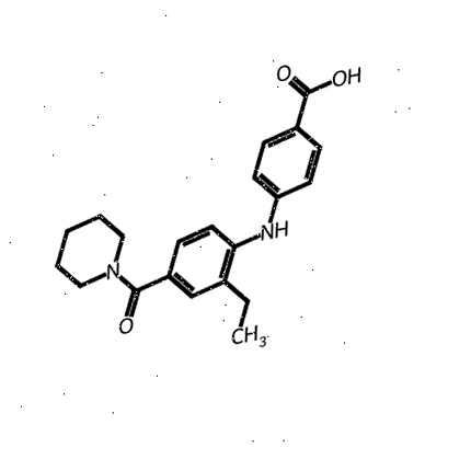 CCc1cc(C(=O)N2CCCCC2)ccc1Nc1ccc(C(=O)O)cc1